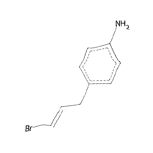 Nc1ccc(CC=CBr)cc1